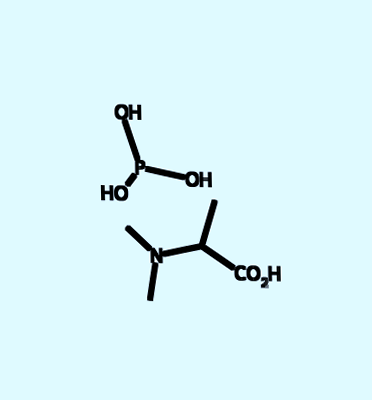 CC(C(=O)O)N(C)C.OP(O)O